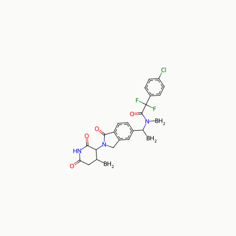 BC1CC(=O)NC(=O)C1N1Cc2cc(C(B)N(B)C(=O)C(F)(F)c3ccc(Cl)cc3)ccc2C1=O